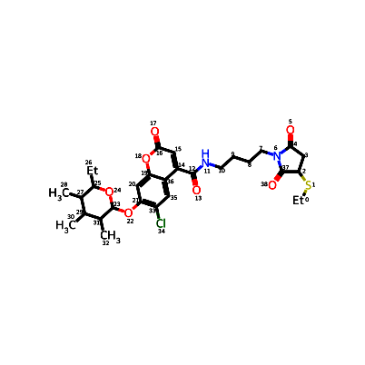 CCSC1CC(=O)N(CCCCNC(=O)c2cc(=O)oc3cc(OC4OC(CC)C(C)C(C)C4C)c(Cl)cc23)C1=O